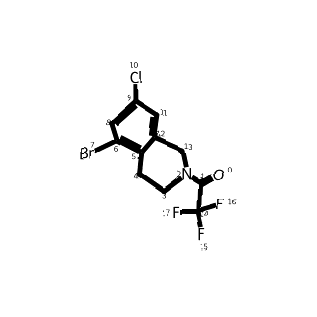 O=C(N1CCc2c(Br)cc(Cl)cc2C1)C(F)(F)F